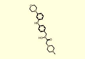 CN1CCN(CC(=O)N(O)Cc2ccc(Nc3cccc(N4CCOCC4)c3)cc2)CC1